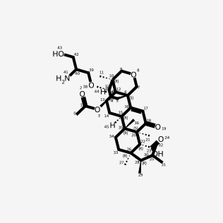 CC(=O)O[C@@H]1C[C@]23COC[C@@](C)([C@@H]2CC[C@H]2C3=CC(=O)[C@@]3(C)[C@H](C(=O)O)[C@@](C)([C@H](C)C(C)C)CC[C@]23C)[C@H]1OCC(N)CO